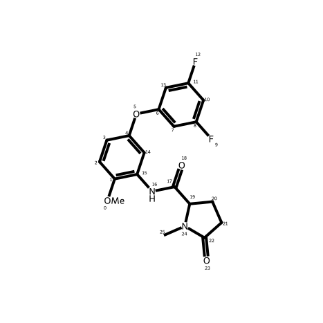 COc1ccc(Oc2cc(F)cc(F)c2)cc1NC(=O)C1CCC(=O)N1C